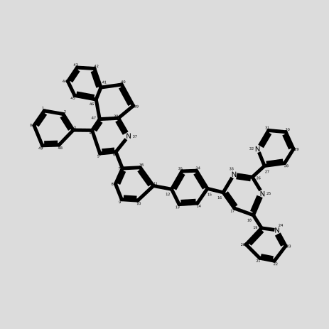 c1ccc(-c2cc(-c3cccc(-c4ccc(-c5cc(-c6ccccn6)nc(-c6ccccn6)n5)cc4)c3)nc3ccc4ccccc4c23)cc1